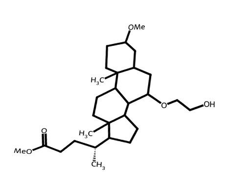 COC(=O)CC[C@@H](C)C1CCC2C3C(OCCO)CC4CC(OC)CCC4(C)C3CCC21C